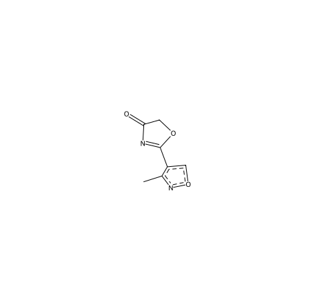 Cc1nocc1C1=NC(=O)CO1